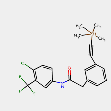 C[SH](C)(C)(C)C#Cc1cccc(CC(=O)Nc2ccc(Cl)c(C(F)(F)F)c2)c1